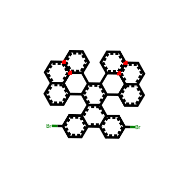 Brc1ccc2c3ccc(Br)cc3c3c(-c4cccc5ccccc45)c(-c4ccccc4)c(-c4ccccc4)c(-c4cccc5ccccc45)c3c2c1